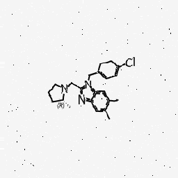 Cc1cc2nc(CN3CCC[C@H]3C)n(CC3=CC=C(Cl)CC3)c2cc1C